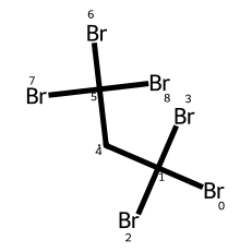 BrC(Br)(Br)[CH]C(Br)(Br)Br